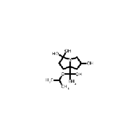 BC(O)(OC(C)C)C12CCC(O)(O)N1CC(O)C2